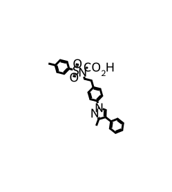 Cc1ccc(S(=O)(=O)N(CCc2ccc(-n3cc(-c4ccccc4)c(C)n3)cc2)C(=O)O)cc1